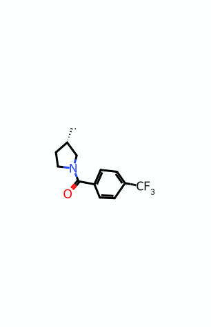 [CH2][C@H]1CCN(C(=O)c2ccc(C(F)(F)F)cc2)C1